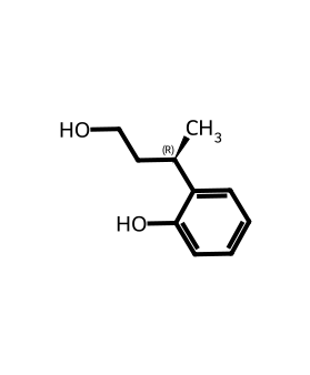 C[C@H](CCO)c1ccccc1O